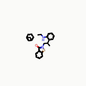 CCNc1ccccc1C(C)Cn1sc2ccccc2c1=O.c1cc2cc(c1)C2